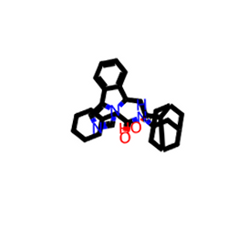 O=C(CC1CCCCC1)NC12CC3CC(C1)C([C@@H](O)CC1c4ccccc4-c4cncn41)C(C3)C2